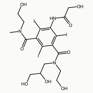 CN(CCO)C(=O)c1c(I)c(NC(=O)CO)c(I)c(C(=O)N(CCO)CC(O)CO)c1I